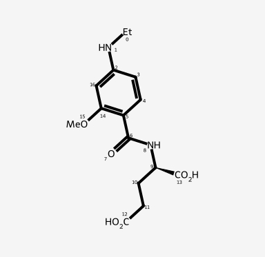 CCNc1ccc(C(=O)N[C@H](CCC(=O)O)C(=O)O)c(OC)c1